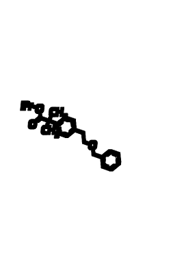 CC(C)OC(=O)C(C)(C)c1ccc(CCOCc2ccccc2)cc1